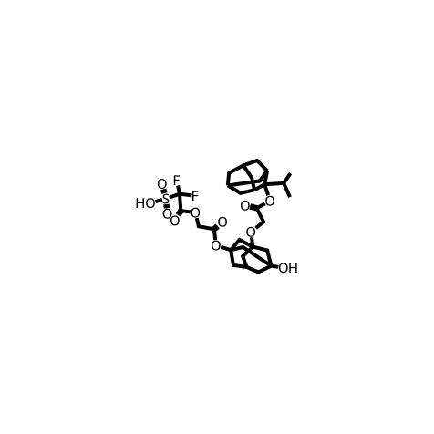 CC(C)C1(OC(=O)COC23CC4CC(O)(C2)CC(OC(=O)COC(=O)C(F)(F)S(=O)(=O)O)(C4)C3)C2CC3CC(C2)CC1C3